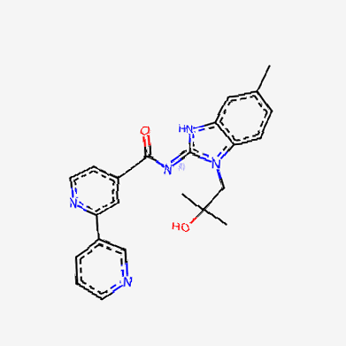 Cc1ccc2c(c1)[nH]/c(=N\C(=O)c1ccnc(-c3cccnc3)c1)n2CC(C)(C)O